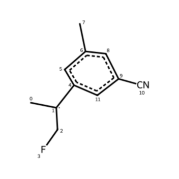 C[C](CF)c1cc(C)cc(C#N)c1